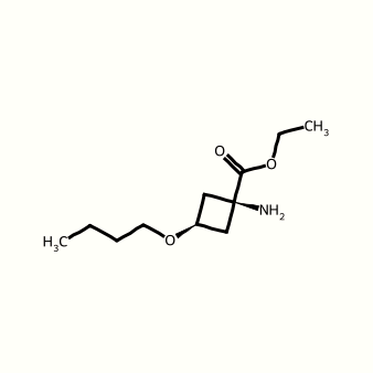 CCCCO[C@H]1C[C@](N)(C(=O)OCC)C1